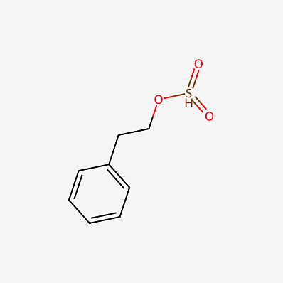 O=[SH](=O)OCCc1ccccc1